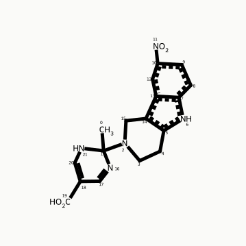 CC1(N2CCc3[nH]c4ccc([N+](=O)[O-])cc4c3C2)N=CC(C(=O)O)=CN1